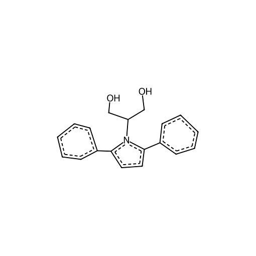 OCC(CO)n1c(-c2ccccc2)ccc1-c1ccccc1